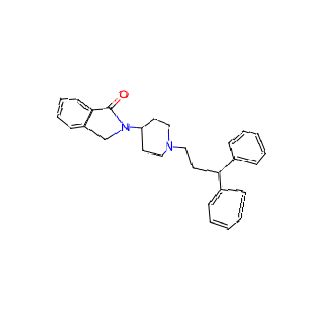 O=C1c2ccccc2CN1C1CCN(CCC(c2ccccc2)c2ccccc2)CC1